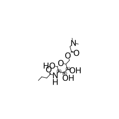 CCCC(=O)N[C@H]1C(O)OC(COC(=O)CN(C)C)[C@@H](O)[C@@H]1O